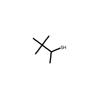 [CH2]C(C)(C)C(C)S